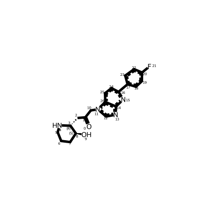 O=C(C[C@H]1NCCC[C@@H]1O)Cn1cnc2nc(-c3ccc(F)cc3)ccc21